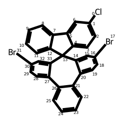 Clc1ccc2c(c1)-c1ccccc1C21c2cc(Br)ccc2-c2ccccc2-c2ccc(Br)cc21